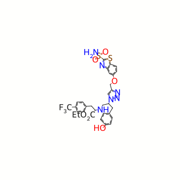 CCOC(=O)C(Cc1ccc(C(F)(F)F)cc1)NCC(Cc1ccc(O)cc1)n1cc(COc2ccc3sc(S(N)(=O)=O)nc3c2)nn1